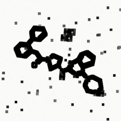 Cl.Cl.O=C(Cc1ccccc1-c1ccccc1)N1CC[C@H](Nc2nc(N3CCCNCC3)c3ccccc3n2)C1